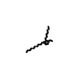 CCCCCCCCCC[n+]1ccn(CC)c1CCCCCCC